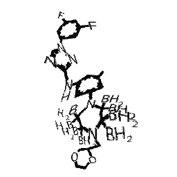 BC1(B)N(CC2COCCO2)C(B)(B)C(B)(B)N(c2cc(C)cc(Nc3ncn(-c4cc(F)cc(F)c4)n3)c2)C1(B)B